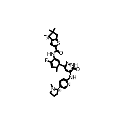 CC1C=C(F)C(NC(=O)c2cc3c(s2)CC(C)(C)[C@@H]3C)=CC1c1cc(Nc2ccc([C@H]3CCCN3C)cn2)c(=O)[nH]n1